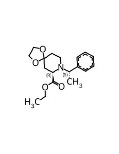 CCOC(=O)[C@H]1CC2(CCN1[C@@H](C)c1ccccc1)OCCO2